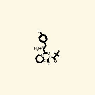 N[C@H](Cc1ccc(Cl)cc1)C(=O)N1CCCC[C@H]1C(=O)OC(=O)C(F)(F)F